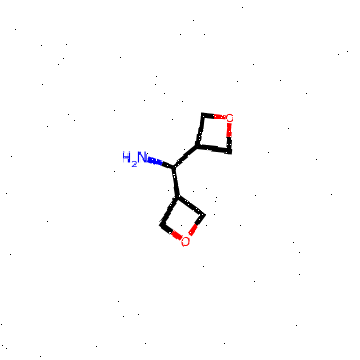 NC(C1COC1)C1COC1